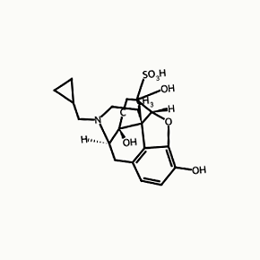 CC1CN(CC2CC2)[C@@H]2Cc3ccc(O)c4c3[C@]13[C@@H](O4)C(O)(S(=O)(=O)O)CC[C@@]23O